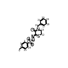 Cc1ccc(S(=O)(=O)ON=C2SCCN(Cc3ccccc3)C2=O)cc1